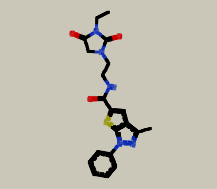 CCN1C(=O)CN(CCNC(=O)c2cc3c(C)nn(-c4ccccc4)c3s2)C1=O